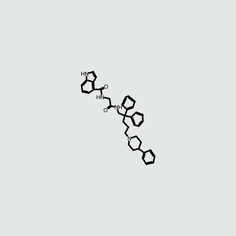 O=C(CNC(=O)c1cccc2[nH]ccc12)NCC(CCCN1CCC(c2ccccc2)CC1)(c1ccccc1)c1ccccc1